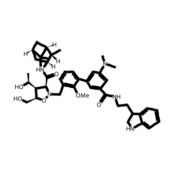 COc1c(CN2O[C@@H](CO)[C@@H]([C@H](C)O)[C@H]2C(=O)N[C@H]2C[C@H]3C[C@@H]([C@@H]2C)C3(C)C)cccc1-c1cc(C(=O)NCCC2CNc3ccccc32)cc(N(C)C)c1